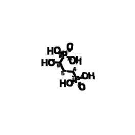 O=P(O)(O)CCC(O)P(=O)(O)O